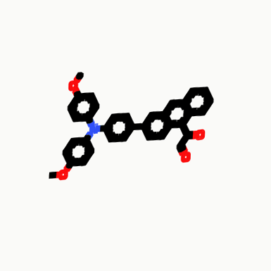 COc1ccc(N(c2ccc(OC)cc2)c2ccc(-c3ccc4c(C(=O)C=O)c5ccccc5cc4c3)cc2)cc1